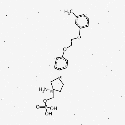 Cc1cccc(OCCOc2ccc([C@@H]3CC[C@@](N)(COP(=O)(O)O)C3)cc2)c1